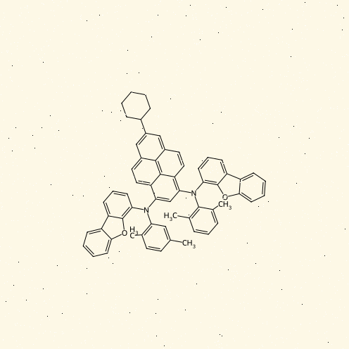 Cc1ccc(C)c(N(c2cc(N(c3c(C)cccc3C)c3cccc4c3oc3ccccc34)c3ccc4cc(C5CCCCC5)cc5ccc2c3c54)c2cccc3c2oc2ccccc23)c1